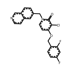 O=c1c(Cl)c(OCc2ccc(F)cc2F)ccn1Cc1ccc2cnccc2c1